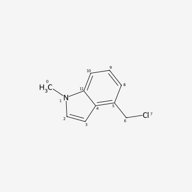 Cn1ccc2c(CCl)cccc21